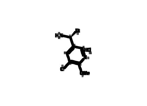 CC[C@@H](N)c1cnc(OC)c(Cl)c1.Cl